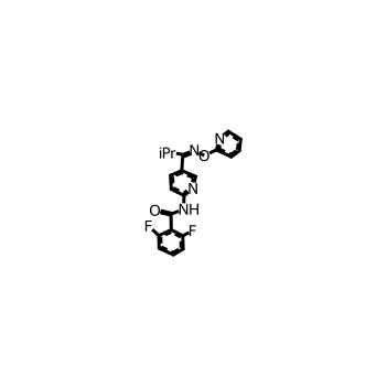 CC(C)/C(=N/Oc1ccccn1)c1ccc(NC(=O)c2c(F)cccc2F)nc1